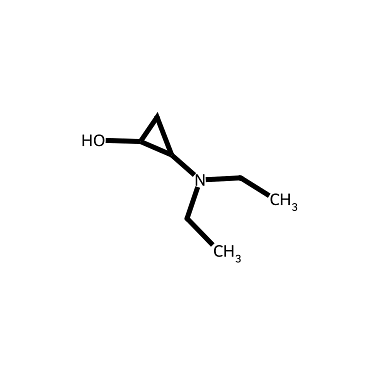 CCN(CC)C1CC1O